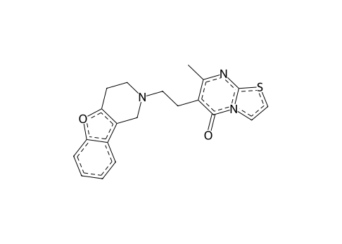 Cc1nc2sccn2c(=O)c1CCN1CCc2oc3ccccc3c2C1